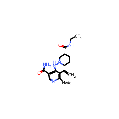 C=Cc1c(NC)ncc(C(N)=O)c1NN1CCC[C@@H](C(=O)NCC(F)(F)F)C1